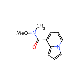 CON(C)C(=O)c1cccn2cccc12